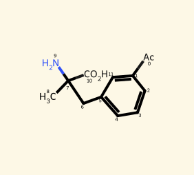 CC(=O)c1cccc(CC(C)(N)C(=O)O)c1